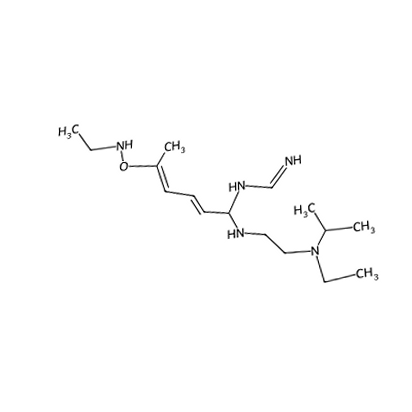 CCNO/C(C)=C/C=C/C(NC=N)NCCN(CC)C(C)C